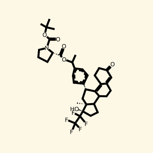 CC(OC(=O)[C@@H]1CCCN1C(=O)OC(C)(C)C)c1ccc([C@H]2C[C@@]3(C)C(CC[C@@]3(O)C(F)(F)C(F)(F)F)C3CCC4=CC(=O)CCC4=C32)cc1